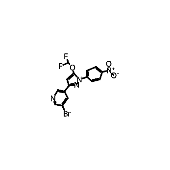 O=[N+]([O-])c1ccc(-n2nc(-c3cncc(Br)c3)cc2OC(F)F)cc1